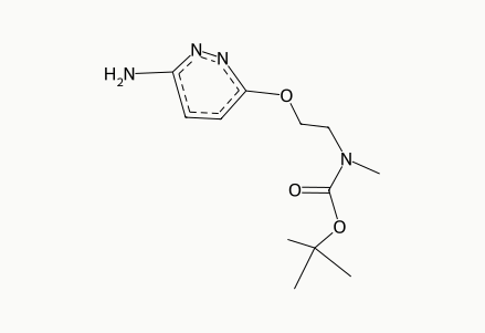 CN(CCOc1ccc(N)nn1)C(=O)OC(C)(C)C